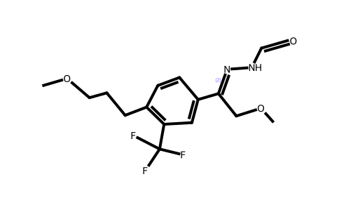 COCCCc1ccc(/C(COC)=N/NC=O)cc1C(F)(F)F